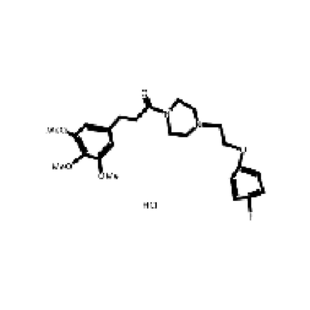 COc1cc(CCC(=O)N2CCN(CCOc3ccc(F)cc3)CC2)cc(OC)c1OC.Cl